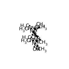 CCN(CC)c1nc(N(CC)CC)nc(N(CC)CCCN(CC)c2nc(N(CC)CC)nc(N(CO)COC)n2)n1